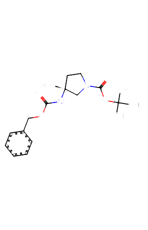 CC(C)(C)OC(=O)N1CC[C@@](C)(NC(=O)OCc2ccccc2)C1